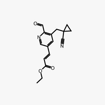 CCOC(=O)/C=C/c1cnc(C=O)c(CC2(C#N)CC2)c1